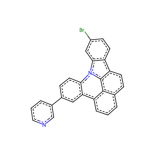 Brc1ccc2c3ccc4cccc5c6cc(-c7cccnc7)ccc6n(c2c1)c3c45